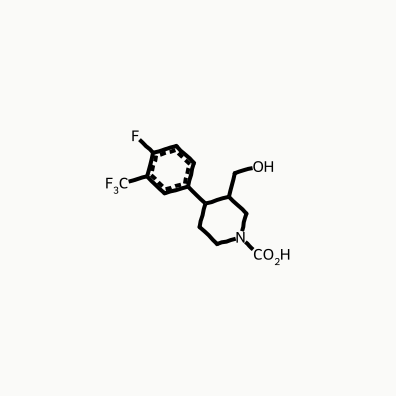 O=C(O)N1CCC(c2ccc(F)c(C(F)(F)F)c2)C(CO)C1